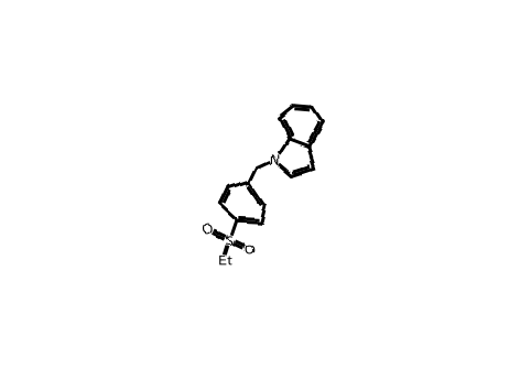 CCS(=O)(=O)c1ccc(Cn2ccc3ccccc32)cc1